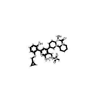 CC(C)(C)OC(=O)N1CCCCC1N1CCCC(c2cc(-c3c(O)cccc3OCC3CC3)nc(N)c2CNS(C)(=O)=O)C1